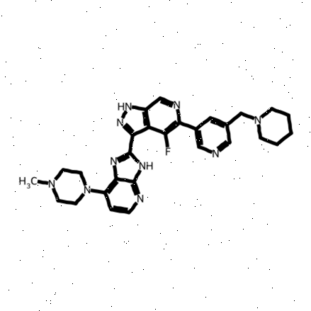 CN1CCN(c2ccnc3[nH]c(-c4n[nH]c5cnc(-c6cncc(CN7CCCCC7)c6)c(F)c45)nc23)CC1